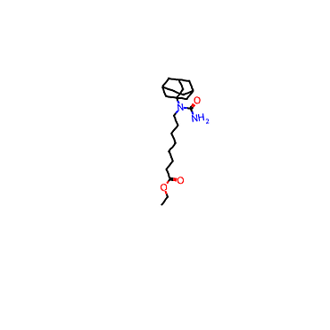 CCOC(=O)CCCCCCCN(C(N)=O)C12CC3CC(CC(C3)C1)C2